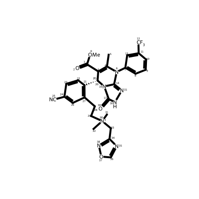 COC(=O)C1=C(C)N(c2cccc(C(F)(F)F)c2)c2n[nH]c(=O)n2[C@@H]1c1ccc(C#N)cc1CC[N+](C)(C)Cc1ncon1